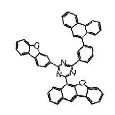 c1cc(-c2nc(-c3ccc4c(c3)oc3ccccc34)nc(-c3c4ccccc4cc4c3oc3ccccc34)n2)cc(-c2cc3ccccc3c3ccccc23)c1